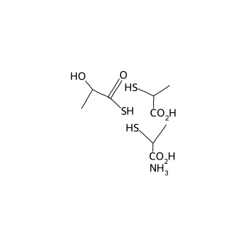 CC(O)C(=O)S.CC(S)C(=O)O.CC(S)C(=O)O.N